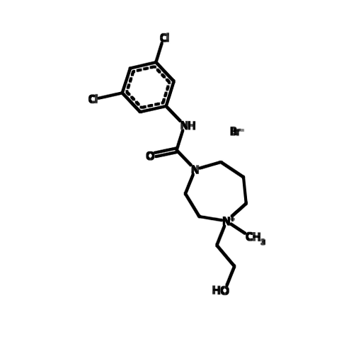 C[N+]1(CCO)CCCN(C(=O)Nc2cc(Cl)cc(Cl)c2)CC1.[Br-]